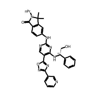 CCCN1C(=O)c2ccc(Nc3ncc(-c4nc(-c5cccnc5)no4)c(N[C@H](CO)c4ccccc4)n3)cc2C1(C)C